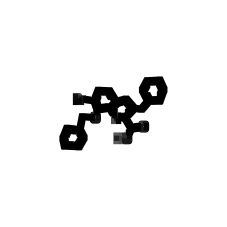 O=C(O)c1nc2c(OCc3ccccc3)c(Br)ccc2cc1Cc1ccccc1